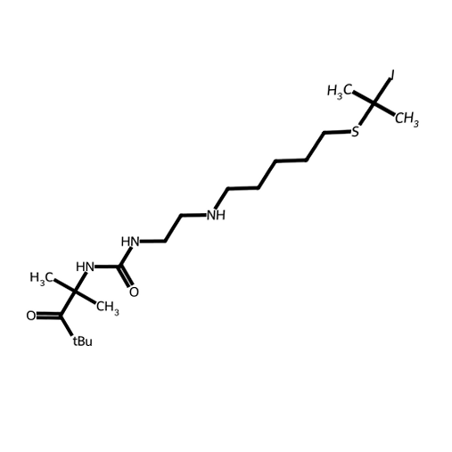 CC(C)(I)SCCCCCNCCNC(=O)NC(C)(C)C(=O)C(C)(C)C